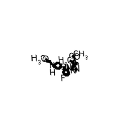 COCCNC1CCC(Oc2cc(F)ccc2Nc2ncnc3sc(C(=O)OC)c(C)c23)CC1